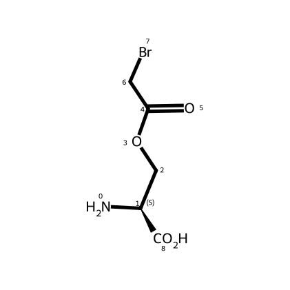 N[C@@H](COC(=O)CBr)C(=O)O